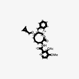 COc1ccnc(C(=O)NC2CCC[C@H](OCC3CC3)[C@@H](Cc3ccccc3)[C@H](C)OC2=O)c1OC(C)=O